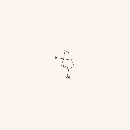 CCC1(C)N=C(C)[C]S1